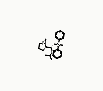 CC(C)O[C@@H](CS(C)(c1ccccc1)c1ccccc1)[C@H]1CCCN1C